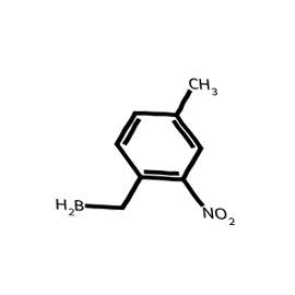 BCc1ccc(C)cc1[N+](=O)[O-]